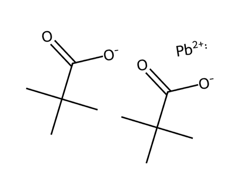 CC(C)(C)C(=O)[O-].CC(C)(C)C(=O)[O-].[Pb+2]